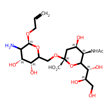 C=CCO[C@H]1OC(CO[C@]2(C(=O)O)C[C@@H](O)[C@@H](NC(C)=O)C([C@H](O)[C@H](O)CO)O2)[C@H](O)[C@H](O)C1N